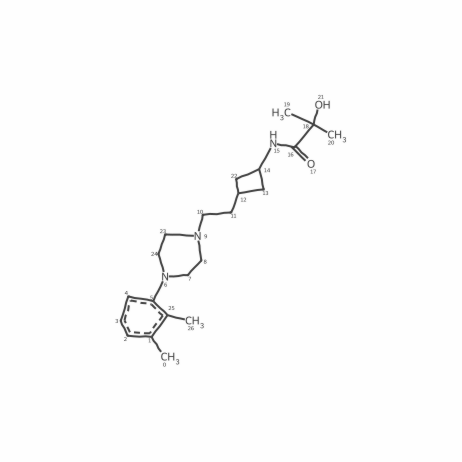 Cc1cccc(N2CCN(CCC3CC(NC(=O)C(C)(C)O)C3)CC2)c1C